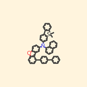 C[Si]1(C)c2ccccc2-c2ccc(N(c3ccc4oc5cccc(-c6ccc(-c7ccccc7)cc6)c5c4c3)c3cccc4ccccc34)cc21